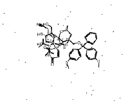 COc1ccc(C(OC[C@@]23CN(C)O[C@@H]([C@H]([N+]4([C@@H]5O[C@H](CO)[C@@H](O)[C@H]5O)C=CC(=O)NC4=O)O2)[C@@H]3OP(OCCC#N)N(C(C)C)C(C)C)(c2ccccc2)c2ccc(OC)cc2)cc1